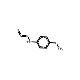 O=S=NNc1ccc(OC(F)(F)F)cc1